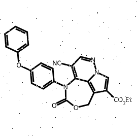 CCOC(=O)c1cn2ncc(C#N)c3c2c1COC(=O)N3c1ccc(Oc2ccccc2)cc1